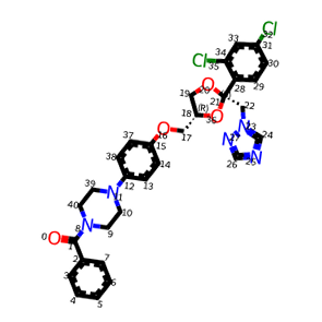 O=C(c1ccccc1)N1CCN(c2ccc(OC[C@@H]3CO[C@@](Cn4cncn4)(c4ccc(Cl)cc4Cl)O3)cc2)CC1